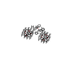 CC1([NH2+]C2(C)CCCCC2)CCCCC1.Cc1ccccc1C[NH2+]Cc1ccccc1C.Fc1c(F)c(F)c([B-](c2c(F)c(F)c(F)c(F)c2F)(c2c(F)c(F)c(F)c(F)c2F)c2c(F)c(F)c(F)c(F)c2F)c(F)c1F.Fc1c(F)c(F)c([B-](c2c(F)c(F)c(F)c(F)c2F)(c2c(F)c(F)c(F)c(F)c2F)c2c(F)c(F)c(F)c(F)c2F)c(F)c1F